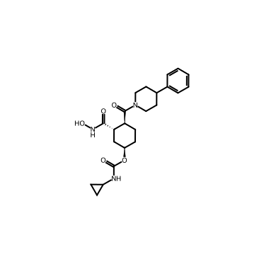 O=C(NC1CC1)O[C@@H]1CC[C@H](C(=O)N2CCC(c3ccccc3)CC2)[C@@H](C(=O)NO)C1